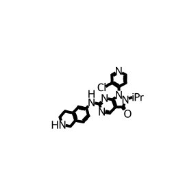 CC(C)n1c(=O)c2cnc(Nc3ccc4c(c3)CCNC4)nc2n1-c1ccncc1Cl